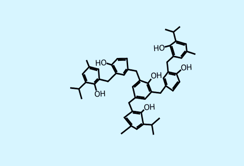 Cc1cc(Cc2cc(Cc3ccc(O)c(Cc4cc(C)cc(C(C)C)c4O)c3)c(O)c(Cc3ccc(O)c(Cc4cc(C)cc(C(C)C)c4O)c3)c2)c(O)c(C(C)C)c1